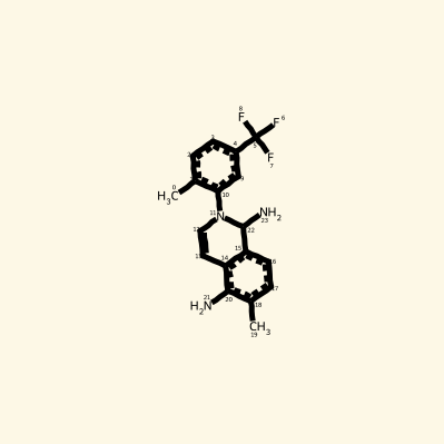 Cc1ccc(C(F)(F)F)cc1N1C=Cc2c(ccc(C)c2N)C1N